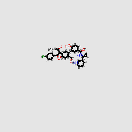 CNC(=O)c1c(-c2ccc(F)cc2)oc2cc(CON)c(-c3cc(C(=O)NC4(c5ccccc5)CC4)ccc3O)cc12